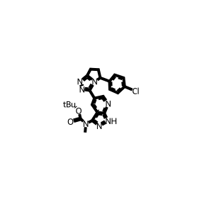 CN(C(=O)OC(C)(C)C)c1n[nH]c2ncc(-c3nnc4n3C(c3ccc(Cl)cc3)CC4)cc12